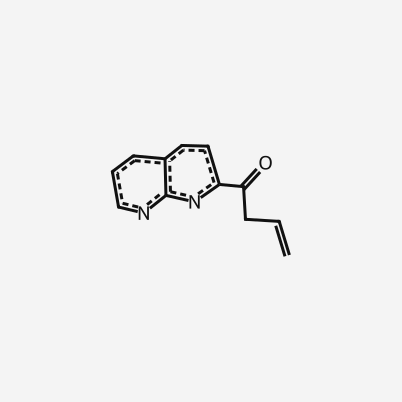 C=CCC(=O)c1ccc2cccnc2n1